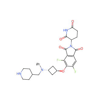 CC(C)N(CC1CCNCC1)[C@H]1C[C@H](Oc2c(F)cc3c(c2F)C(=O)N(C2CCC(=O)NC2=O)C3=O)C1